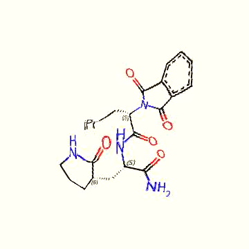 CC(C)C[C@@H](C(=O)N[C@@H](C[C@@H]1CCCNC1=O)C(N)=O)N1C(=O)c2ccccc2C1=O